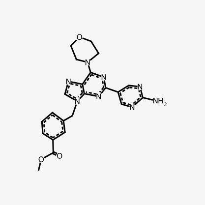 COC(=O)c1cccc(Cn2cnc3c(N4CCOCC4)nc(-c4cnc(N)nc4)nc32)c1